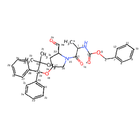 CC(NC(=O)OCc1ccccc1)C(=O)N1CC(O[Si](c2ccccc2)(c2ccccc2)C(C)(C)C)CC1C=O